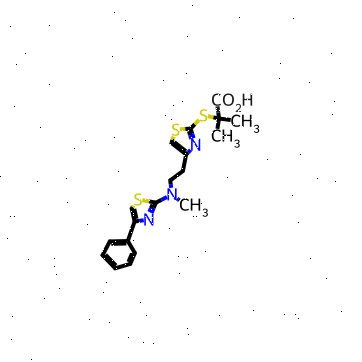 CN(CCc1csc(SC(C)(C)C(=O)O)n1)c1nc(-c2ccccc2)cs1